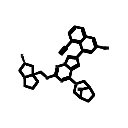 C#Cc1cccc2cc(O)cc(-c3cc4c(N5CC6CCC(C5)N6)nc(OC[C@@]56CCCN5C[C@H](F)C6)nn4c3)c12